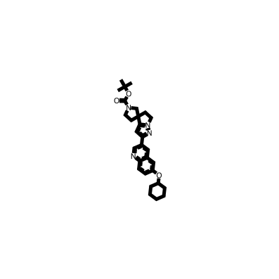 CC(C)(C)OC(=O)N1CCC2(CCn3nc(-c4cnc5ccc(OC6CCCCC6)cc5c4)cc32)C1